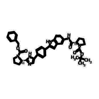 CC(C)(C)OC(=O)N1CCC[C@H]1C(=O)Nc1ccc2[nH]c(-c3ccc(-c4cnc([C@@H]5CCCN5C(=O)OCc5ccccc5)[nH]4)cc3)cc2c1